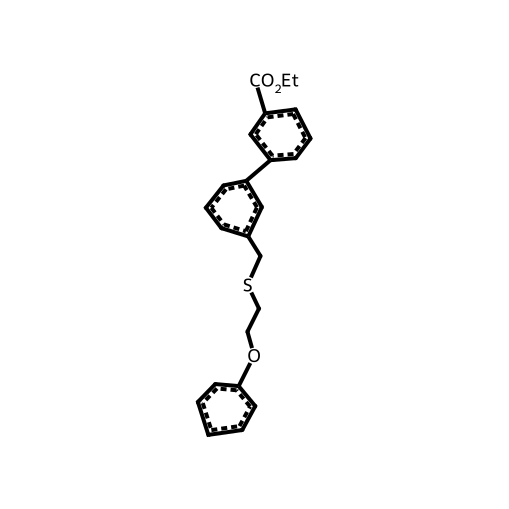 CCOC(=O)c1cccc(-c2cccc(CSCCOc3ccccc3)c2)c1